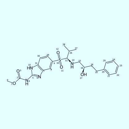 COC(=O)Nc1nc2cc(S(=O)(=O)[C@H](NC[C@H](O)[CH]Cc3ccccc3)C(C)C)ccc2[nH]1